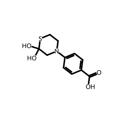 O=C(O)c1ccc(N2CCSC(O)(O)C2)cc1